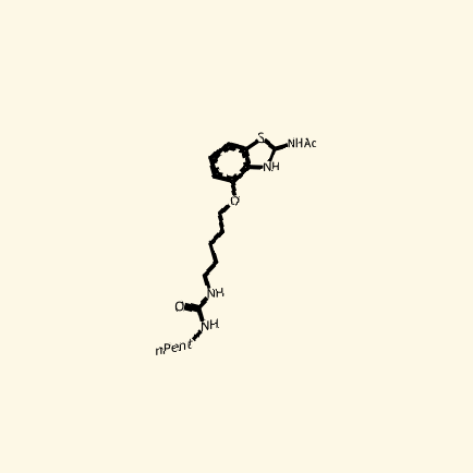 CCCCCNC(=O)NCCCCCOc1cccc2c1NC(NC(C)=O)S2